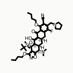 CCCCOc1noc2c1C(=O)[C@@]1(O[Si](C)(C)C(C)(C)C)C(O)=C3C(=O)c4c(c(F)c(CN5CCCC5)c(C#N)c4OCCCC)C[C@H]3C[C@H]1[C@@H]2N(C)C